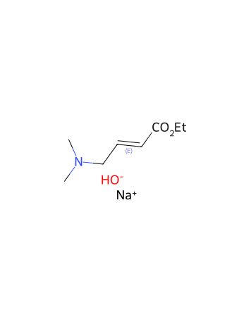 CCOC(=O)/C=C/CN(C)C.[Na+].[OH-]